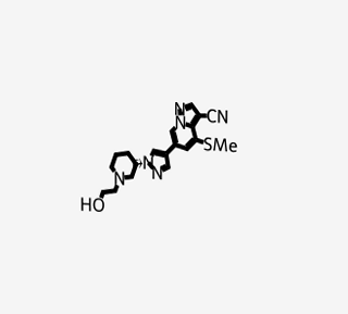 CSc1cc(-c2cnn([C@H]3CCCN(CCO)C3)c2)cn2ncc(C#N)c12